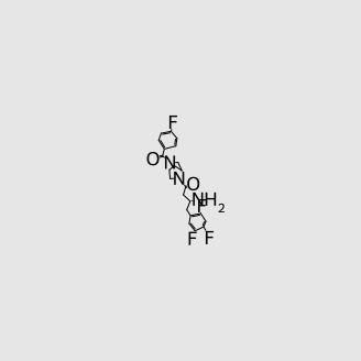 N[C@@H](CC(=O)N1CC2CC1CN2C(=O)c1ccc(F)cc1)Cc1cc(F)c(F)cc1F